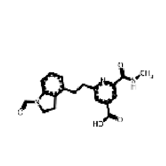 CNC(=O)c1cc(C(=O)O)cc(CCc2cccc3c2CCN3C=O)n1